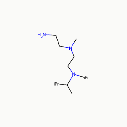 CC(C)C(C)N(CCN(C)CCN)C(C)C